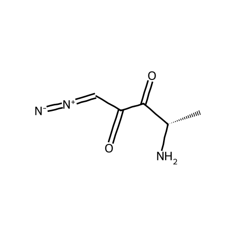 C[C@H](N)C(=O)C(=O)C=[N+]=[N-]